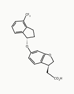 O=C(O)C[C@@H]1COc2cc(O[C@H]3CCc4c3cccc4C(F)(F)F)ccc21